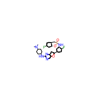 CN(C)C1CCC(Nc2ncc3oc(-c4ccc(F)c(NS(=O)(=O)Cc5ccc(F)cc5)c4)cc3n2)CC1